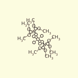 CCCCOc1cc(OCCCC)cc(N(c2cc(OCCCC)cc(OCCCC)c2)c2ccc3c4c(-c5ccccc5)c5c6ccc(N(c7cc(OCCCC)cc(OCCCC)c7)c7cc(OCCCC)cc(OCCCC)c7)c7cccc(c5c(-c5ccccc5)c4c4cccc2c43)c76)c1